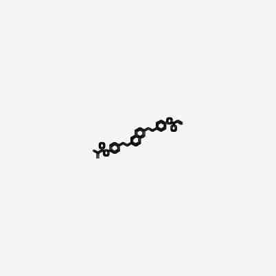 C=CC(=O)Oc1ccc(CCc2ccc3cc(CCc4ccc(OC(=O)C(=C)C)cc4)ccc3c2)cc1